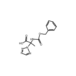 CC(NC(=O)OCc1ccccc1)(C(=O)O)n1ncnn1